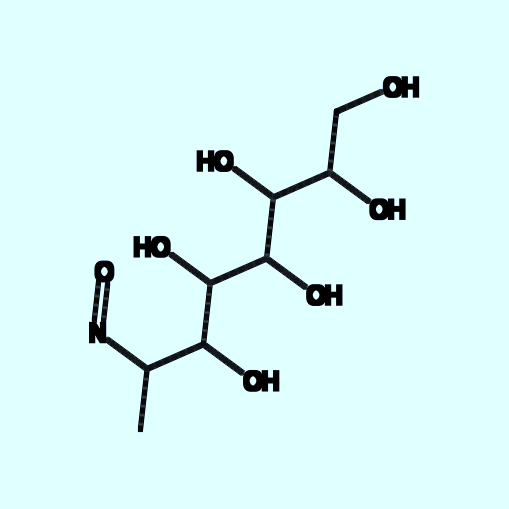 CC(N=O)C(O)C(O)C(O)C(O)C(O)CO